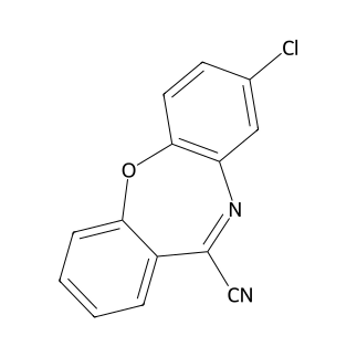 N#CC1=Nc2cc(Cl)ccc2Oc2ccccc21